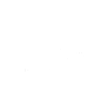 CCc1cccc(OC(C)(C)C(=O)O)c1Cl